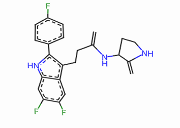 C=C(CCc1c(-c2ccc(F)cc2)[nH]c2cc(F)c(F)cc12)NC1CCNC1=C